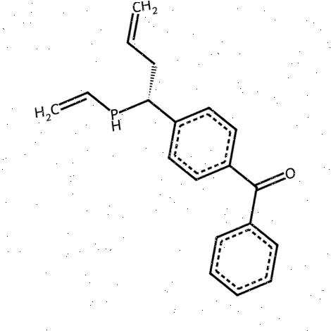 C=CC[C@@H](PC=C)c1ccc(C(=O)c2ccccc2)cc1